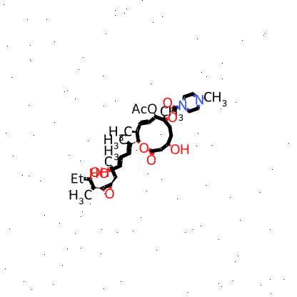 CCC(O)C(C)[C@H]1O[C@@H]1CC(C)(O)/C=C/C=C(\C)[C@H]1OC(=O)C[C@H](O)CC[C@@](C)(OC(=O)N2CCN(C)CC2)[C@@H](OC(C)=O)/C=C/[C@@H]1C